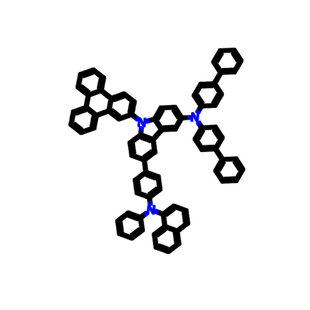 c1ccc(-c2ccc(N(c3ccc(-c4ccccc4)cc3)c3ccc4c(c3)c3cc(-c5ccc(N(c6ccccc6)c6cccc7ccccc67)cc5)ccc3n4-c3ccc4c5ccccc5c5ccccc5c4c3)cc2)cc1